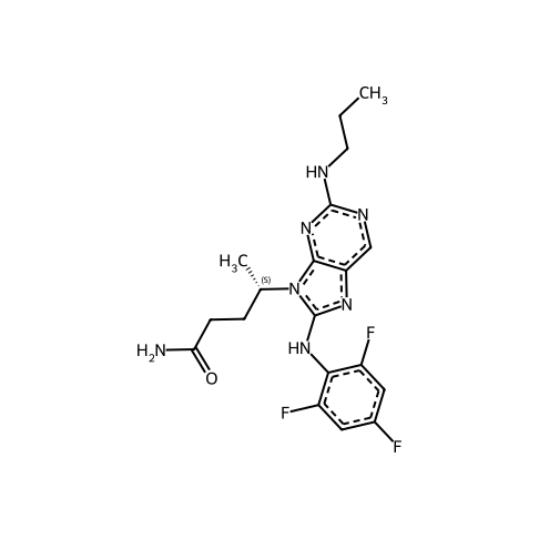 CCCNc1ncc2nc(Nc3c(F)cc(F)cc3F)n([C@@H](C)CCC(N)=O)c2n1